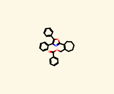 O=C(OCC1=C(c2nc(-c3ccccc3)c(-c3ccccc3)o2)CCCCC1)c1ccccc1